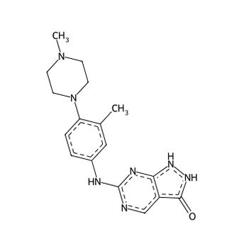 Cc1cc(Nc2ncc3c(=O)[nH][nH]c3n2)ccc1N1CCN(C)CC1